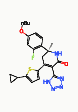 CCCCOc1ccc([C@]2(C)CC(c3ccc(C4CC4)s3)=C(c3nnn[nH]3)C(=O)N2)c(F)c1